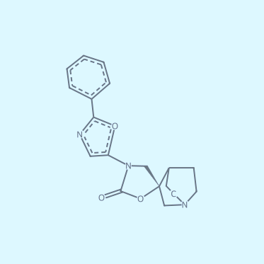 O=C1O[C@]2(CN3CCC2CC3)CN1c1cnc(-c2ccccc2)o1